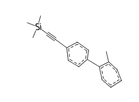 Cc1ccccc1-c1ccc(C#C[Si](C)(C)C)cc1